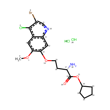 COc1cc2c(Cl)c(Br)cnc2cc1OCC[C@H](N)C(=O)OC1CCCC1.Cl.Cl